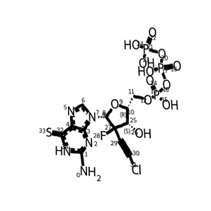 Nc1nc2c(ncn2[C@@H]2O[C@H](COP(=O)(O)OP(=O)(O)OP(=O)(O)O)[C@H](O)C2(F)C#CCl)c(=S)[nH]1